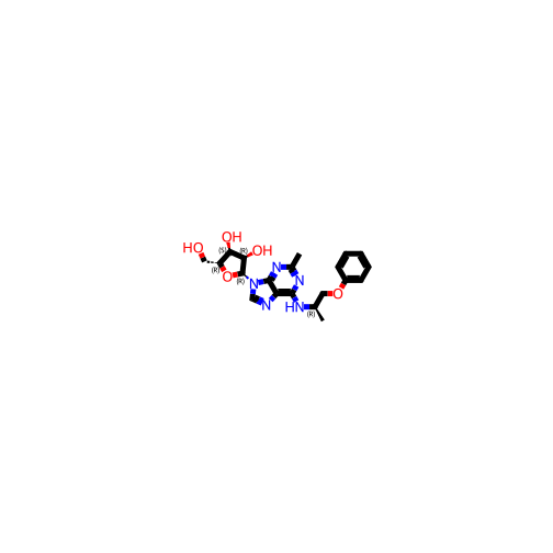 Cc1nc(N[C@H](C)COc2ccccc2)c2ncn([C@@H]3O[C@H](CO)[C@@H](O)[C@H]3O)c2n1